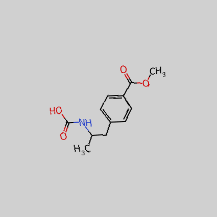 COC(=O)c1ccc(CC(C)NC(=O)O)cc1